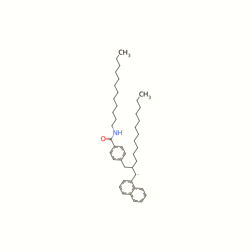 CCCCCCCCCCCCNC(=O)c1ccc(CC([CH]c2cccc3ccccc23)CCCCCCCCCCC)cc1